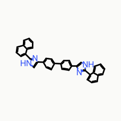 c1ccc2c(-c3nc(-c4ccc(-c5ccc(-c6c[nH]c(-c7cccc8ccccc78)n6)cc5)cc4)c[nH]3)cccc2c1